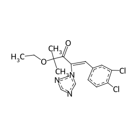 CCOC(C)(C)C(=O)/C(=C/c1ccc(Cl)c(Cl)c1)n1cncn1